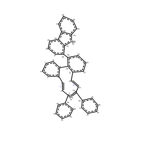 O=C(/C=C/c1ccccc1-c1c(/C=C/C(=O)c2ccccc2)cccc1-c1cccc2c1[nH]c1ccccc12)c1ccccc1